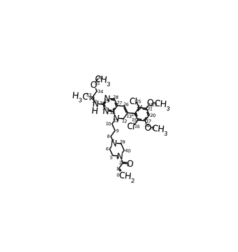 C=CC(=O)N1CCN(CCCN2CC(c3c(Cl)c(OC)cc(OC)c3Cl)=Cc3cnc(N[C@H](C)COC)nc32)CC1